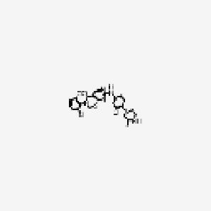 CC1CN(c2ccc(Nc3ncc4c(n3)SCN(c3c(Cl)cccc3Cl)C4=O)cc2Cl)CCN1